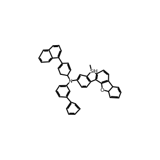 C[SiH]1c2cc(N(c3cccc(-c4ccccc4)c3)C3C=CC(c4cccc5ccccc45)=CC3)ccc2-c2c1ccc1c2OC2C=CC=CC12